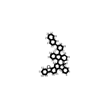 CC1(C)c2ccccc2-c2c1c(-c1c3c(c(-c4cccc(-c5ccc6ccccc6c5)c4)c4ccccc14)=CCCC=3)cc1c2ccc2c3ccccc3oc12